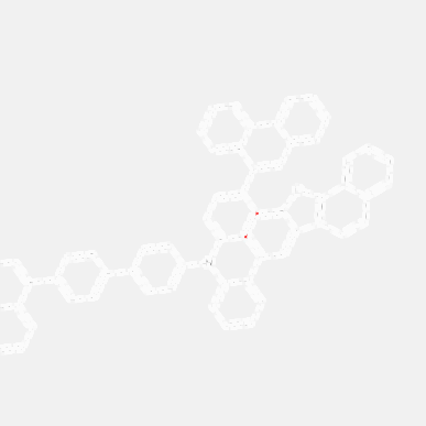 c1ccc(N(c2ccc(-c3ccc(-c4cccc5ccccc45)cc3)cc2)c2ccc(-c3cc4ccccc4c4ccccc34)cc2)c(-c2ccc3oc4c5ccccc5ccc4c3c2)c1